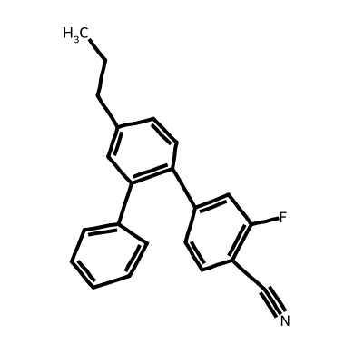 CCCc1ccc(-c2ccc(C#N)c(F)c2)c(-c2ccccc2)c1